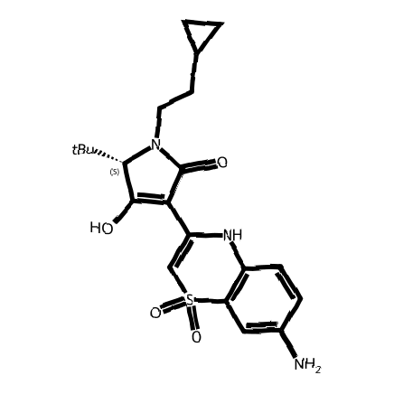 CC(C)(C)[C@H]1C(O)=C(C2=CS(=O)(=O)c3cc(N)ccc3N2)C(=O)N1CCC1CC1